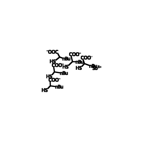 CCCCC(S)C(=O)[O-].CCCCC(S)C(=O)[O-].CCCCC(S)C(=O)[O-].CCCCC(S)C(=O)[O-].CCCCC(S)C(=O)[O-].[Sb+5]